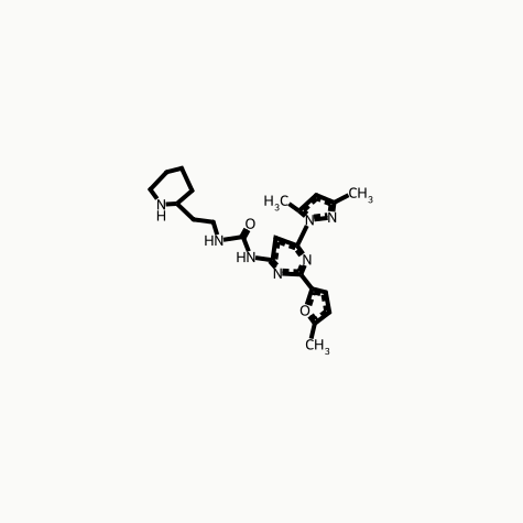 Cc1cc(C)n(-c2cc(NC(=O)NCCC3CCCCN3)nc(-c3ccc(C)o3)n2)n1